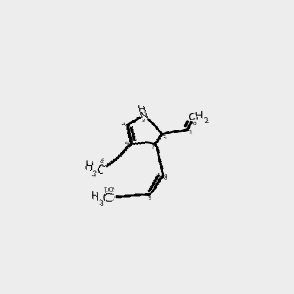 C=CC1NC=C(C)C1/C=C\C